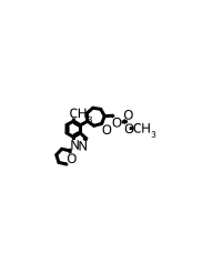 COC(=O)OCC1CCCC(c2c(C)ccc3c2cnn3C2CCCCO2)CC1=O